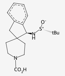 CC(C)(C)[S@@+]([O-])N[C@@H]1c2ccccc2CC12CCN(C(=O)O)CC2